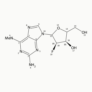 CNc1nc(N)nc2c1ncn2C1OC(CO)[C@@H](O)[C@H]1F